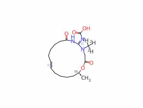 [2H]C([2H])([2H])N1CC(=O)O[C@@H](C)CCCC/C=C/CCCCC(=O)N/C1=N\C(=O)O